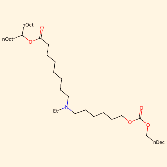 CCCCCCCCCCCOC(=O)OCCCCCCN(CC)CCCCCCCC(=O)OC(CCCCCCCC)CCCCCCCC